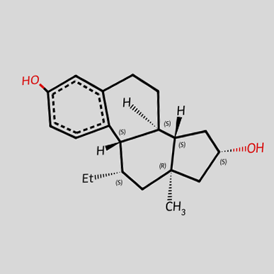 CC[C@H]1C[C@]2(C)C[C@@H](O)C[C@H]2[C@@H]2CCc3cc(O)ccc3[C@@H]12